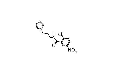 O=C(NCCCn1cccc1)c1cc([N+](=O)[O-])ccc1Cl